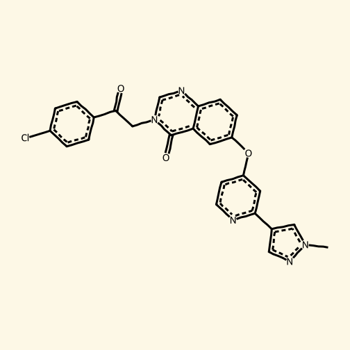 Cn1cc(-c2cc(Oc3ccc4ncn(CC(=O)c5ccc(Cl)cc5)c(=O)c4c3)ccn2)cn1